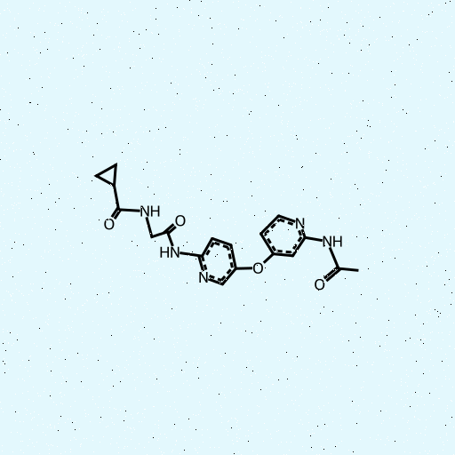 CC(=O)Nc1cc(Oc2ccc(NC(=O)CNC(=O)C3CC3)nc2)ccn1